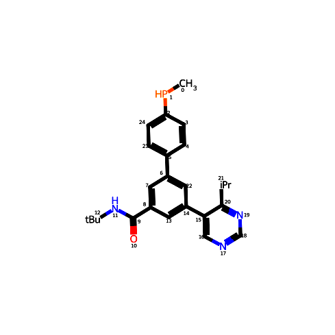 CPc1ccc(-c2cc(C(=O)NC(C)(C)C)cc(-c3cncnc3C(C)C)c2)cc1